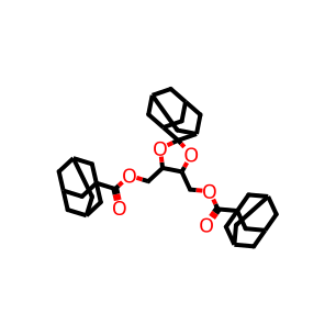 O=C(OCC1OC2(OC1COC(=O)C13CC4CC(CC(C4)C1)C3)C1CC3CC(C1)CC2C3)C12CC3CC(CC(C3)C1)C2